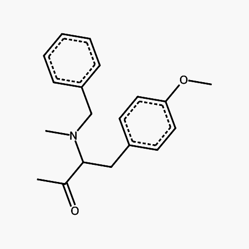 COc1ccc(CC(C(C)=O)N(C)Cc2ccccc2)cc1